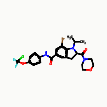 CC(C)N1c2c(Br)cc(C(=O)Nc3ccc(OC(F)(F)Cl)cc3)cc2CC1C(=O)N1CCOCC1